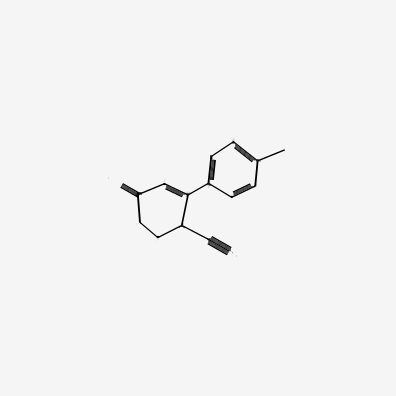 Cc1ccc(C2=CC(=O)CCC2C#N)cc1